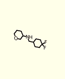 FC1(F)CCC(CNC2CCCOC2)CC1